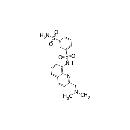 CN(C)Cc1ccc2cccc(NS(=O)(=O)c3cccc(S(N)(=O)=O)c3)c2n1